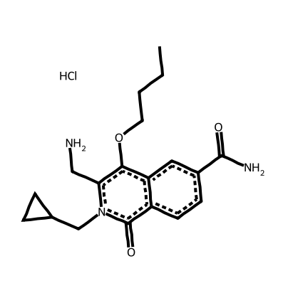 CCCCOc1c(CN)n(CC2CC2)c(=O)c2ccc(C(N)=O)cc12.Cl